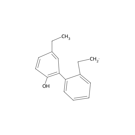 [CH2]Cc1ccccc1-c1cc(CC)ccc1O